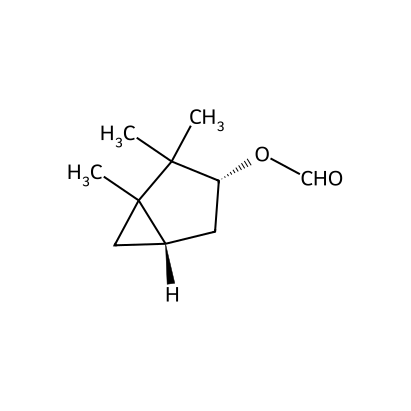 CC1(C)[C@H](OC=O)C[C@@H]2CC21C